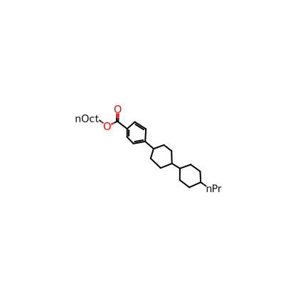 CCCCCCCCOC(=O)c1ccc(C2CCC(C3CCC(CCC)CC3)CC2)cc1